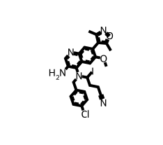 COc1cc2c(N(Cc3ccc(Cl)cc3)C(I)CCC#N)c(N)cnc2cc1-c1c(C)noc1C